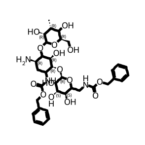 C[C@@H]1C(O)[C@@H](CO)OC(OC2[C@H](N)CC(NC(=O)OCc3ccccc3)[C@@H](O[C@H]3OC(CNC(=O)OCc4ccccc4)[C@@H](O)[C@H](O)C3O)[C@@H]2O)[C@@H]1O